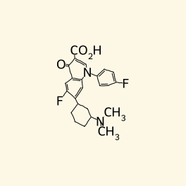 CN(C)C1CCCC(c2cc3c(cc2F)c(=O)c(C(=O)O)cn3-c2ccc(F)cc2)C1